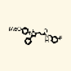 COc1ccc(-n2nc(CCC(=O)NCc3cccc(F)c3)cc2-c2ccccc2)cc1